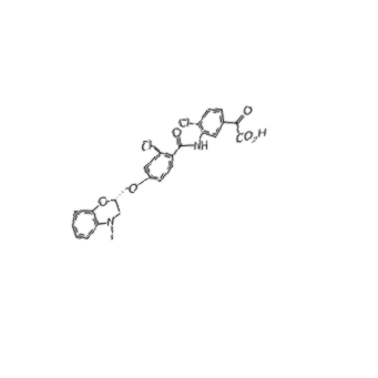 CN1C[C@@H](COc2ccc(C(=O)Nc3cc(C(=O)C(=O)O)ccc3Cl)c(Cl)c2)Oc2ccccc21